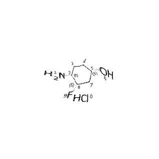 Cl.N[C@@H]1CC[C@H](O)C[C@@H]1F